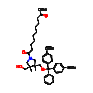 COC(=O)CCCCCCCCC(=O)N1CC(C)(CO)C(C)(COC(c2ccccc2)(c2ccc(OC)cc2)c2ccc(OC)cc2)C1